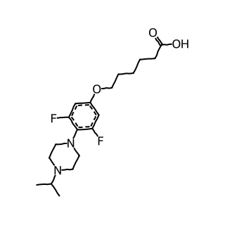 CC(C)N1CCN(c2c(F)cc(OCCCCCC(=O)O)cc2F)CC1